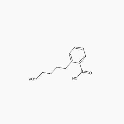 CCCCCCCCCCCCc1ccccc1S(=O)O